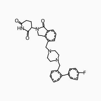 O=C1CCC(N2Cc3c(CN4CCN(Cc5ccccc5-c5ccc(F)cc5)CC4)cccc3C2=O)C(=O)N1